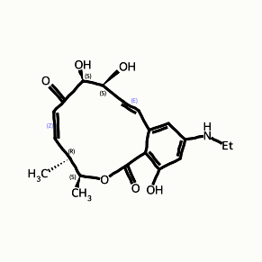 CCNc1cc(O)c2c(c1)/C=C/[C@H](O)[C@H](O)C(=O)/C=C\[C@@H](C)[C@H](C)OC2=O